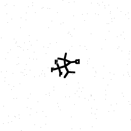 CC(C)C1(C(F)(F)F)C(Cl)C1(C)C